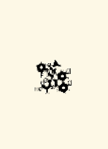 CC[C@@H](CN(c1ccccc1F)S(=O)(=O)C1CC1)N1C(=O)[C@H]([C@@H](C)C(=O)O)O[C@H](c2cccc(Cl)c2)[C@H]1c1ccc(Cl)cc1